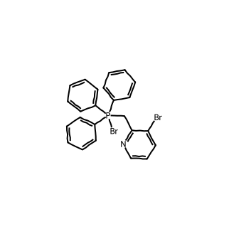 Brc1cccnc1CP(Br)(c1ccccc1)(c1ccccc1)c1ccccc1